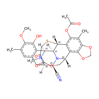 COc1c(C)cc2c(c1O)[C@H]1[C@H]3[C@@H]4SCC(=O)C(=O)OC[C@@H](c5c6c(c(C)c(OC(C)=O)c54)OCO6)N3[C@@H](C#N)[C@@H](C2)N1C